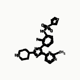 Cc1nccc(-c2sc(C3CCNCC3)nc2-c2cccc(NS(=O)(=O)c3ccoc3)c2F)n1